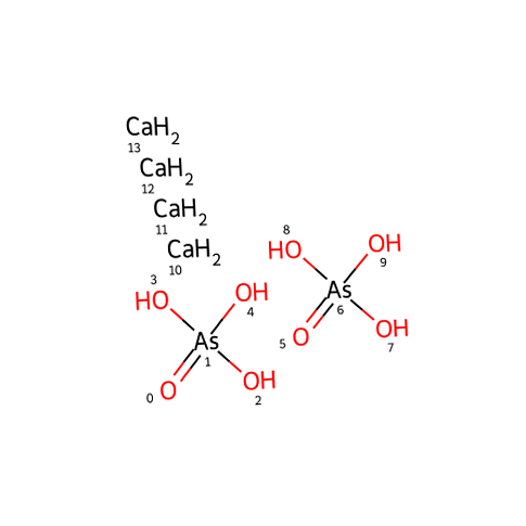 O=[As](O)(O)O.O=[As](O)(O)O.[CaH2].[CaH2].[CaH2].[CaH2]